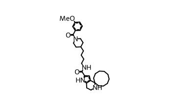 COc1cccc(C(=O)N2CCC(CCCCNC(=O)c3cc4c([nH]3)CCNC43CCCCCCCCC3)CC2)c1